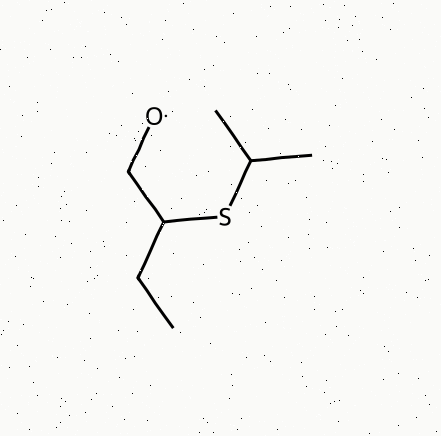 CCC(C[O])SC(C)C